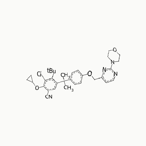 CC(C)(C)c1c(C(C)(C)c2ccc(OCc3ccnc(N4CCOCC4)n3)cc2)cc(C#N)c(OC2CC2)c1Cl